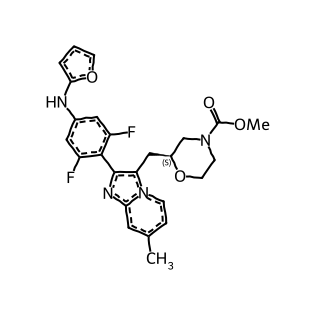 COC(=O)N1CCO[C@@H](Cc2c(-c3c(F)cc(Nc4ccco4)cc3F)nc3cc(C)ccn23)C1